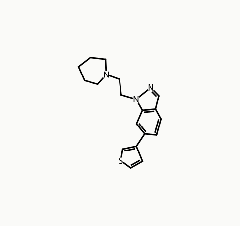 c1cc(-c2ccc3cnn(CCN4CCCCC4)c3c2)cs1